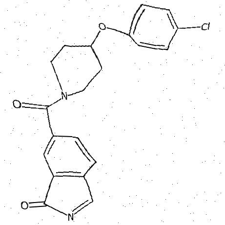 O=C1N=Cc2ccc(C(=O)N3CCC(Oc4ccc(Cl)cc4)CC3)cc21